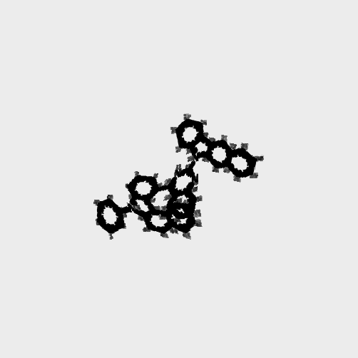 c1ccc(-n2c3cccc(-c4nc(-n5c6ccccc6c6cc7ccccc7cc65)nc5ccccc45)c3c3c4ccccc4ccc32)cc1